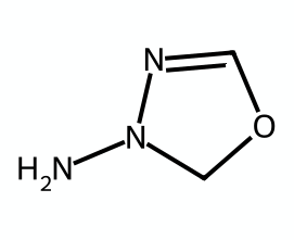 NN1COC=N1